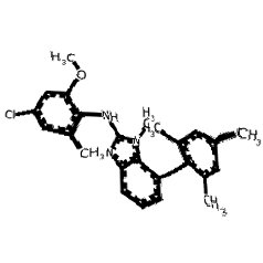 COc1cc(Cl)cc(C)c1Nc1nc2cccc(-c3c(C)cc(C)cc3C)c2n1C